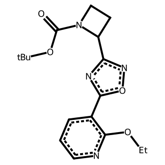 CCOc1ncccc1-c1nc(C2CCN2C(=O)OC(C)(C)C)no1